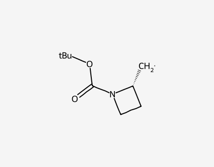 [CH2][C@@H]1CCN1C(=O)OC(C)(C)C